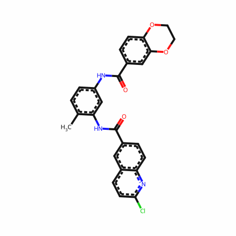 Cc1ccc(NC(=O)c2ccc3c(c2)OCCO3)cc1NC(=O)c1ccc2nc(Cl)ccc2c1